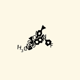 Cn1ccc(S(=O)(=O)N(C2CC2)[C@H]2CCC3=Cc4c(cnn4-c4ccc(F)cc4)C[C@]3(C(=O)c3ccc(C4CC4)cn3)C2)n1